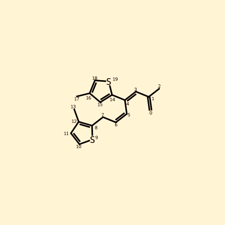 C=C(C)/C=C(\C=C/Cc1sccc1C)c1cc(C)cs1